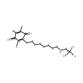 CC1=C(C)C(=O)C(CCCCCCCCOCC(F)(F)F)=C(C)C1=O